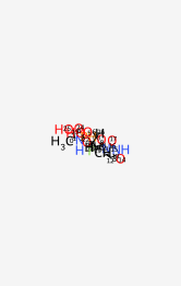 CC(N[PH]1(O)OC[C@H]2O[C@@H](n3ccc(=O)[nH]c3=O)[C@](C)(F)[C@@H]2O1)C(=O)O